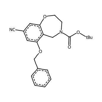 CC(C)(C)OC(=O)N1CCOc2cc(C#N)cc(OCc3ccccc3)c2C1